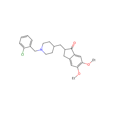 CCOc1cc2c(cc1OCC)C(=O)C(CC1CCN(Cc3ccccc3Cl)CC1)C2